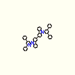 c1ccc(-c2cc(-c3ccccc3)cc(-n3c4ccccc4c4cc(-c5ccc6c(c5)c5ccccc5n6-c5cc(-c6ccccc6)cc(-c6ccccc6)n5)ccc43)c2)cc1